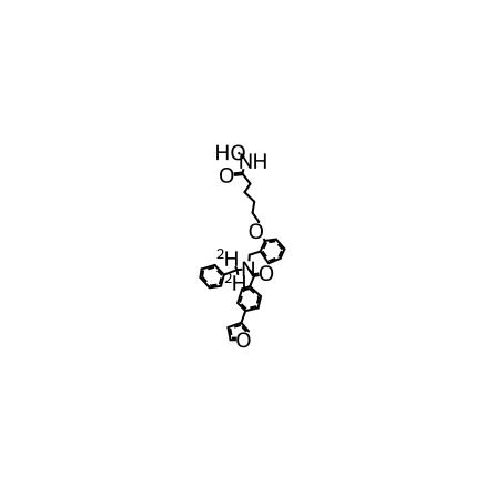 [2H]C([2H])(c1ccccc1)N(Cc1ccccc1OCCCCCC(=O)NO)C(=O)c1ccc(-c2ccoc2)cc1